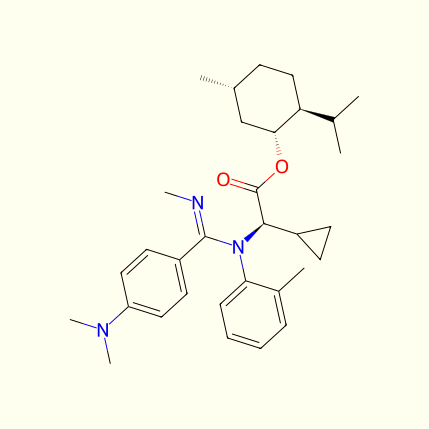 C/N=C(\c1ccc(N(C)C)cc1)N(c1ccccc1C)[C@@H](C(=O)O[C@@H]1C[C@H](C)CC[C@H]1C(C)C)C1CC1